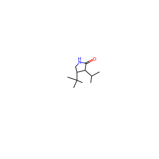 CC(C)C1C(=O)NCC1C(C)(C)C